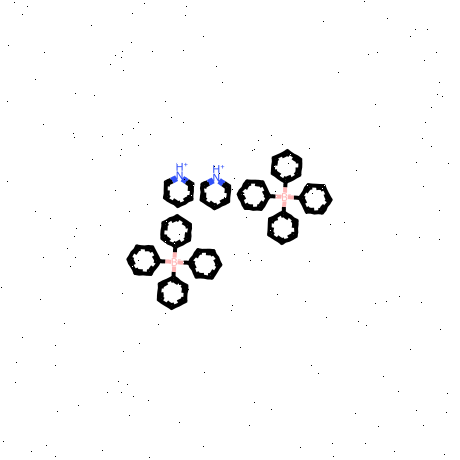 c1cc[nH+]cc1.c1cc[nH+]cc1.c1ccc([B-](c2ccccc2)(c2ccccc2)c2ccccc2)cc1.c1ccc([B-](c2ccccc2)(c2ccccc2)c2ccccc2)cc1